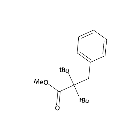 COC(=O)C(Cc1ccccc1)(C(C)(C)C)C(C)(C)C